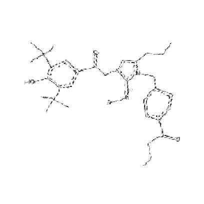 CCCc1cn(CC(=O)c2cc(C(C)(C)C)c(O)c(C(C)(C)C)c2)/c(=N\Br)n1Cc1ccc(C(=O)OCC)cc1